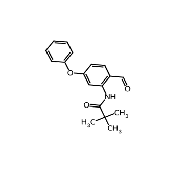 CC(C)(C)C(=O)Nc1cc(Oc2ccccc2)ccc1C=O